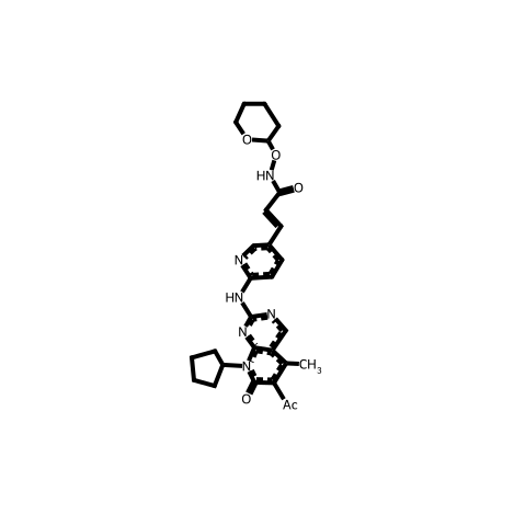 CC(=O)c1c(C)c2cnc(Nc3ccc(/C=C/C(=O)NOC4CCCCO4)cn3)nc2n(C2CCCC2)c1=O